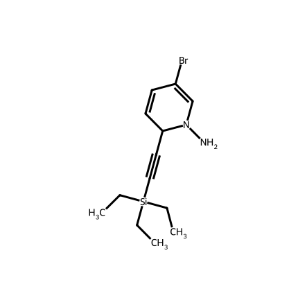 CC[Si](C#CC1C=CC(Br)=CN1N)(CC)CC